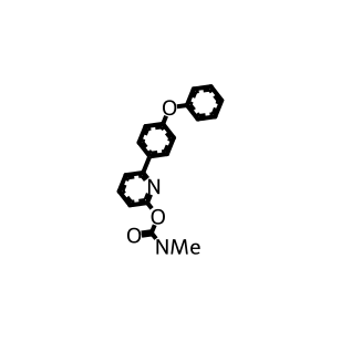 CNC(=O)Oc1cccc(-c2ccc(Oc3ccccc3)cc2)n1